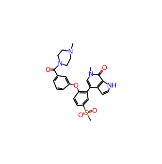 CN1CCN(C(=O)c2cccc(Oc3ccc(S(C)(=O)=O)cc3-c3cn(C)c(=O)c4[nH]ccc34)c2)CC1